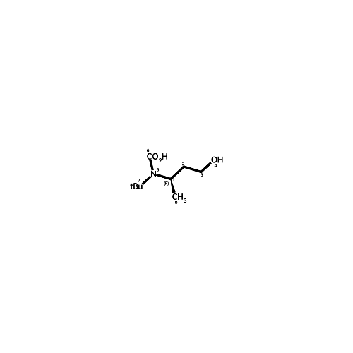 C[C@H](CCO)N(C(=O)O)C(C)(C)C